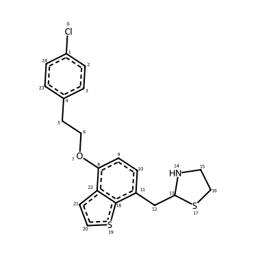 Clc1ccc(CCOc2ccc(CC3NCCS3)c3sccc23)cc1